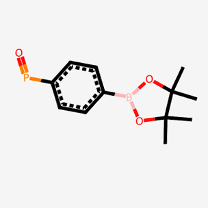 CC1(C)OB(c2ccc(P=O)cc2)OC1(C)C